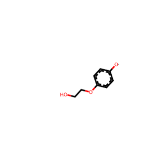 [O]c1ccc(OCCO)cc1